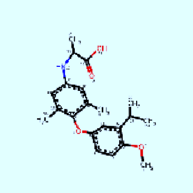 COc1ccc(Oc2c(C)cc(NC(C)C(=O)O)cc2C)cc1C(C)C